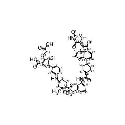 CC1(C)C[C@@H](Nc2cccc(-c3sc(C(=O)O)c(OCC(=O)O)c3Cl)c2)CCN1S(=O)(=O)Cc1cccc(NC(=O)N2CCC(c3ccc4c5c(cccc35)N(C3CCC(=O)NC3=O)C4=O)CC2)c1